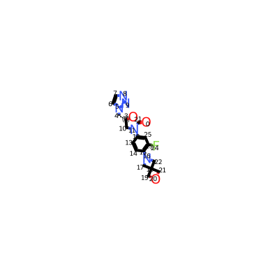 O=C1O[C@@H](Cn2ccnn2)CN1c1ccc(N2CC3(COC3)C2)c(F)c1